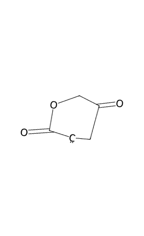 O=C1C[C]C(=O)OC1